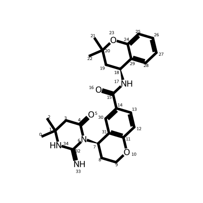 CC1(C)CC(=O)N([C@@H]2CCOc3ccc(C(=O)N[C@H]4CC(C)(C)Oc5ccccc54)cc32)C(=N)N1